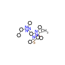 CCC1C(c2ccccc2)=NC(c2cc(-c3nc(-c4ccccc4)nc(-c4cccc(-c5ccccc5)c4)n3)ccc2N2c3ccccc3C3Sc4ccccc4C32)=NC1c1ccccc1